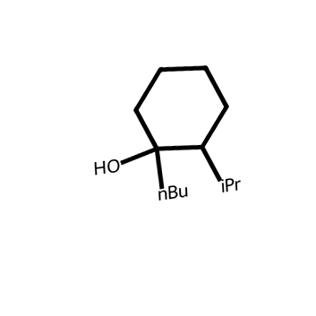 CCCCC1(O)CCCCC1C(C)C